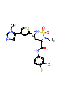 CN1[C@@H](C(=O)Nc2ccc(F)c(Cl)c2)C[C@@H](c2cc(-c3cncn3C)cs2)NS1(=O)=O